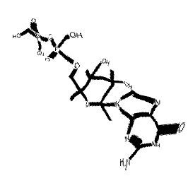 CC1(COP(=O)(O)OP(=O)(O)O)OC(C)(n2cnc3c(=O)[nH]c(N)nc32)C(C)(O)C1(C)O